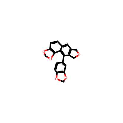 c1cc2c(cc1-c1c3c(cc4ccc5c(c14)OCO5)COC3)OCO2